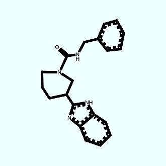 O=C(NCc1ccccc1)N1CCCC(c2nc3ccccc3[nH]2)C1